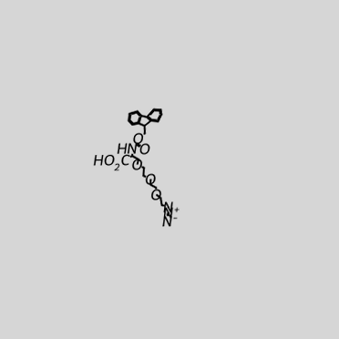 [N-]=[N+]=NCCOCCOCCOCC(NC(=O)OCC1c2ccccc2-c2ccccc21)C(=O)O